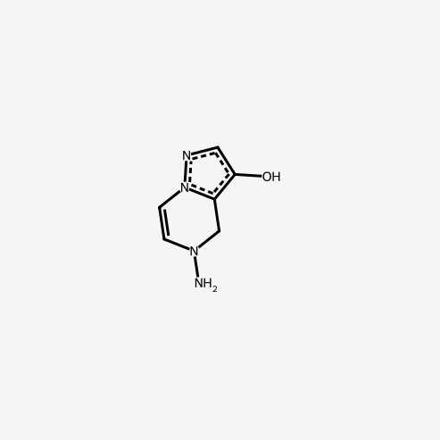 NN1C=Cn2ncc(O)c2C1